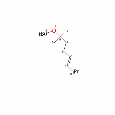 CC(C)/C=C/CCC(C)(C)OC(C)(C)C